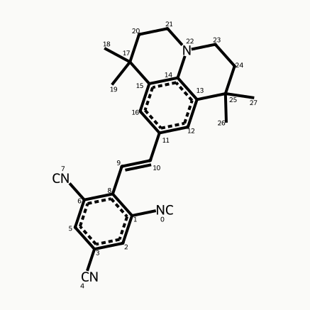 [C-]#[N+]c1cc(C#N)cc([N+]#[C-])c1C=Cc1cc2c3c(c1)C(C)(C)CCN3CCC2(C)C